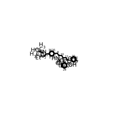 CCn1cc(-c2ccc(CC(CCCC(C)(C)[Si](O)(c3ccccc3)c3ccccc3)NC(=O)OC(C)(C)C)cc2)nc1C(C)(C)O